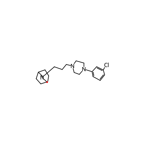 Clc1cccc(N2CCN(CCCN3CC4CCC(CC4)C3)CC2)c1